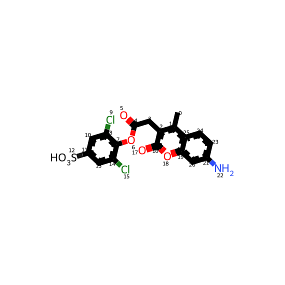 Cc1c(CC(=O)Oc2c(Cl)cc(S(=O)(=O)O)cc2Cl)c(=O)oc2cc(N)ccc12